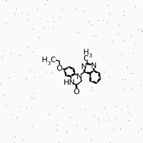 CCOc1ccc2c(c1)NC(=O)CN2c1nc(C)nc2ccccc12